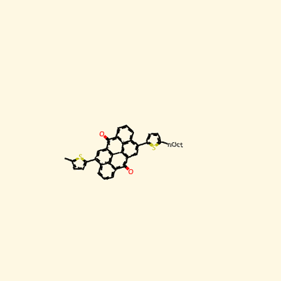 CCCCCCCCc1ccc(-c2cc3c4c5c2cccc5c(=O)c2cc(-c5ccc(C)s5)c5cccc(c3=O)c5c2-4)s1